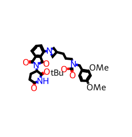 COc1ccc(CN(CCCC2CN(c3cccc4c3C(=O)N(C3CCC(=O)NC3=O)C4=O)C2)C(=O)OC(C)(C)C)c(OC)c1